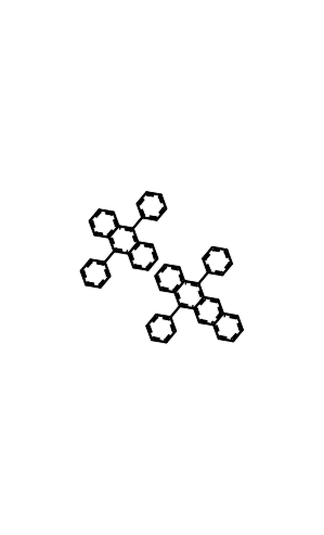 c1ccc(-c2c3ccccc3c(-c3ccccc3)c3cc4ccccc4cc23)cc1.c1ccc(-c2c3ccccc3c(-c3ccccc3)c3ccccc23)cc1